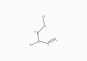 [CH2]C(C=C)SCC